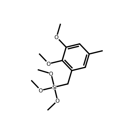 COc1cc(C)cc(C[Si](OC)(OC)OC)c1OC